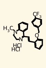 CN1CCN=C(C=Cc2ccccc2OCc2ccc(C(F)(F)F)cc2)c2ccccc21.Cl.Cl